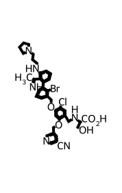 CC(=N)c1c(NCCCN2CCCC2)cccc1-c1cccc(COc2cc(OCc3cncc(C#N)c3)c(CNC(CO)C(=O)O)cc2Cl)c1Br